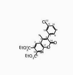 CCOC(=O)c1cc2c(C)c(-c3cccc(Cl)c3)c(=O)oc2nc1C(=O)OCC